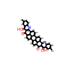 Cc1ccc2nc3c(c(O)c2c1)C(=O)c1ccc2c4ccc5c6c(ccc(c7ccc-3c1c27)c64)-c1nc2ccc(C)cc2c(O)c1C5=O